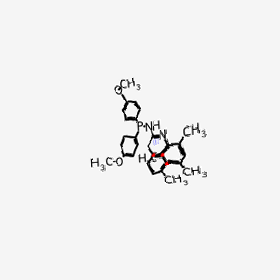 COc1ccc(P(N/C(Cc2ccc(C)cc2)=N/c2c(C)cc(C)cc2C)c2ccc(OC)cc2)cc1